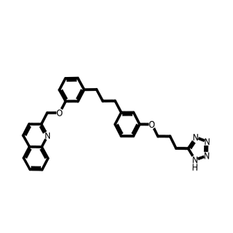 c1cc(CCCc2cccc(OCc3ccc4ccccc4n3)c2)cc(OCCCc2nnn[nH]2)c1